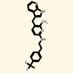 Cc1nc(NCCc2ccc(C(F)(F)F)cc2)ccc1Cc1c[nH]c2ncccc12